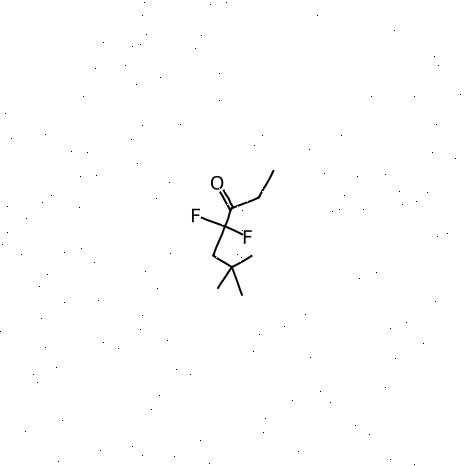 CCC(=O)C(F)(F)CC(C)(C)C